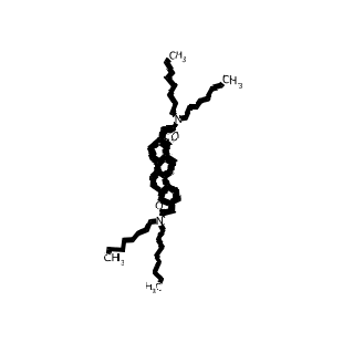 CCCCCCCCN(CCCCCCCC)c1cc2ccc3c4ccc5c(ccc6cc(N(CCCCCCCC)CCCCCCCC)oc65)c4ccc3c2o1